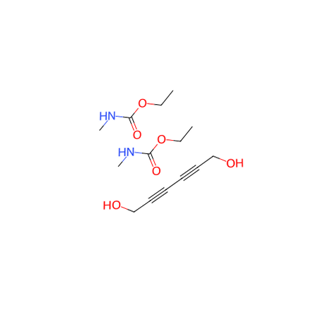 CCOC(=O)NC.CCOC(=O)NC.OCC#CC#CCO